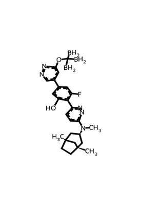 BC(B)(B)Oc1cc(-c2cc(O)c(-c3ccc(N(C)[C@H]4C[C@]5(C)CC[C@](C)(C4)C5)nn3)c(F)c2)cnn1